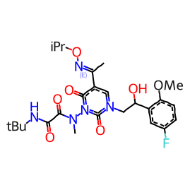 COc1ccc(F)cc1C(O)Cn1cc(/C(C)=N/OC(C)C)c(=O)n(N(C)C(=O)C(=O)NC(C)(C)C)c1=O